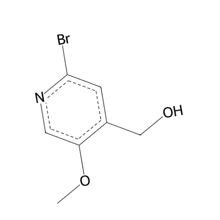 COc1cnc(Br)cc1CO